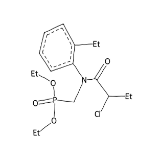 CCOP(=O)(CN(C(=O)C(Cl)CC)c1ccccc1CC)OCC